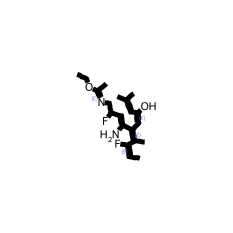 C\C=C(F)/C(C)=C(/C=C(/O)C=C(C)C)C(N)=CC(F)C/N=C(\C)OCC